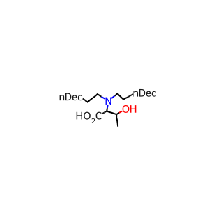 CCCCCCCCCCCCN(CCCCCCCCCCCC)C(C(=O)O)C(C)O